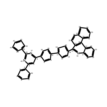 c1ccc(-c2cc(-c3ccc(-c4ccc(-c5nc6ccccc6c6c5ccc5ccccc56)cc4)cc3)nc(-c3ccccc3)n2)cc1